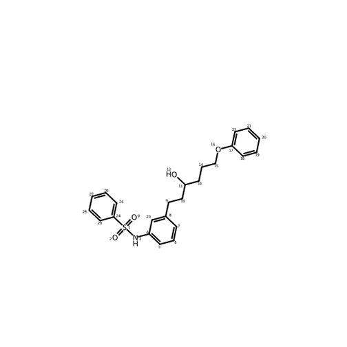 O=S(=O)(Nc1cccc(CCC(O)CCCOc2[c]cccc2)c1)c1ccccc1